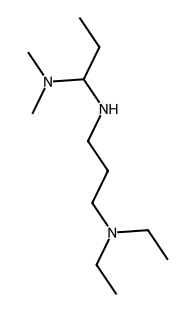 CCC(NCCCN(CC)CC)N(C)C